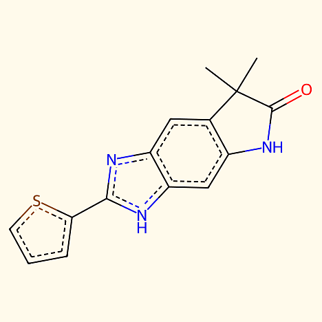 CC1(C)C(=O)Nc2cc3[nH]c(-c4cccs4)nc3cc21